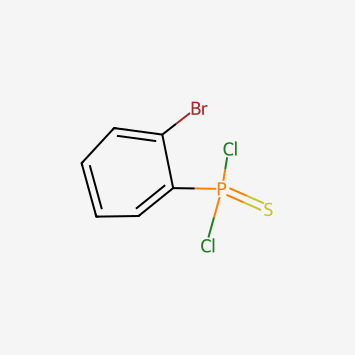 S=P(Cl)(Cl)c1ccccc1Br